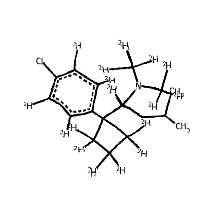 [2H]c1c([2H])c(C2(C([2H])(CC(C)C)N(C([2H])([2H])[2H])C([2H])([2H])[2H])C([2H])([2H])C([2H])([2H])C2([2H])[2H])c([2H])c([2H])c1Cl